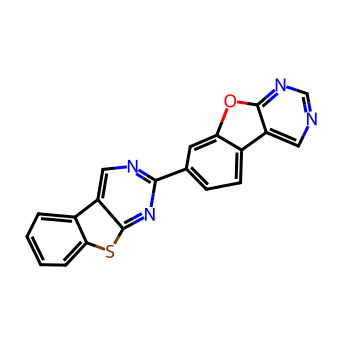 c1ccc2c(c1)sc1nc(-c3ccc4c(c3)oc3ncncc34)ncc12